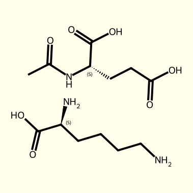 CC(=O)N[C@@H](CCC(=O)O)C(=O)O.NCCCC[C@H](N)C(=O)O